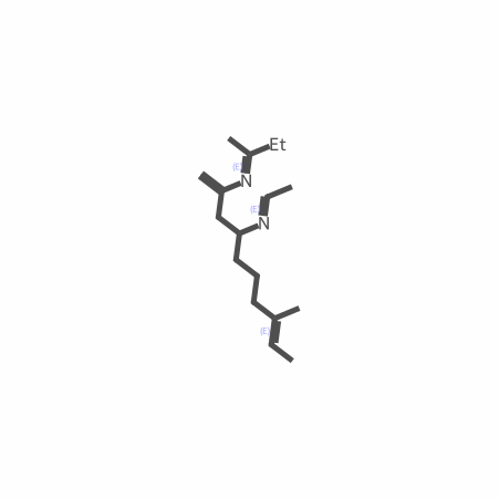 C=C(CC(CCC/C(C)=C/C)/N=C/C)/N=C(\C)CC